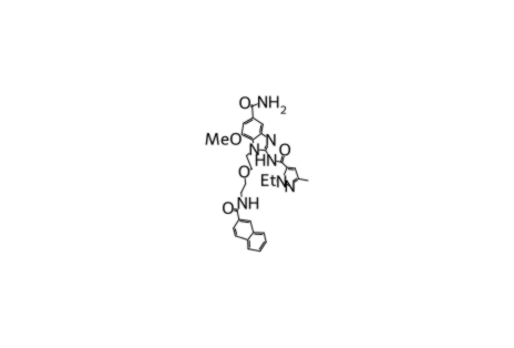 CCn1nc(C)cc1C(=O)Nc1nc2cc(C(N)=O)cc(OC)c2n1CCOCCNC(=O)c1ccc2ccccc2c1